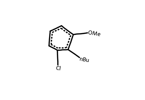 [CH2]CCCc1c(Cl)cccc1OC